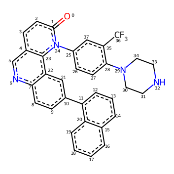 O=c1ccc2cnc3ccc(-c4cccc5ccccc45)cc3c2n1-c1ccc(N2CCNCC2)c(C(F)(F)F)c1